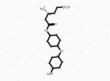 C[C@H](CCC(=O)O)CC(=O)OC1CCC(OC2CCC(O)CC2)CC1